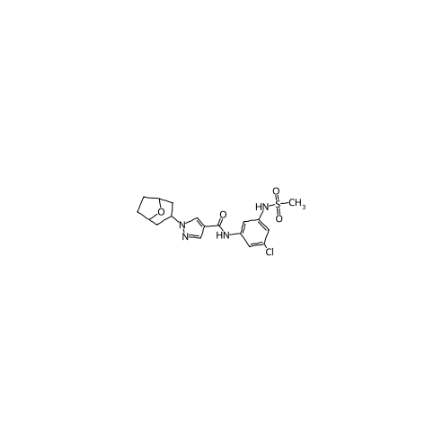 CS(=O)(=O)Nc1cc(Cl)cc(NC(=O)c2cnn(C3CC4CCC(C3)O4)c2)c1